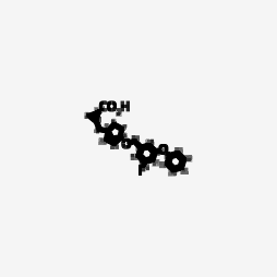 O=C(O)C1CC1CC12CCC(OCc3cc(F)cc(Oc4ccccc4)c3)(CC1)C2